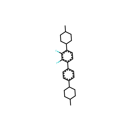 CC1CCC(c2ccc(-c3ccc(C4CCC(C)CC4)c(F)c3F)cc2)CC1